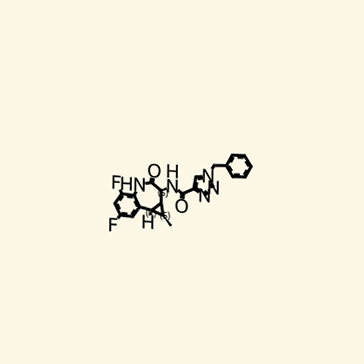 C[C@@H]1C2[C@H](NC(=O)c3cn(Cc4ccccc4)nn3)C(=O)Nc3c(F)cc(F)cc3[C@@H]21